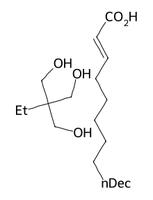 CCC(CO)(CO)CO.CCCCCCCCCCCCCCCC=CC(=O)O